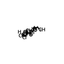 C#CCc1ccc(COC(=O)C2C(CC(Cl)(Cl)Cl)C2(C)C)o1